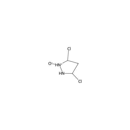 [O-][NH+]1NC(Cl)CC1Cl